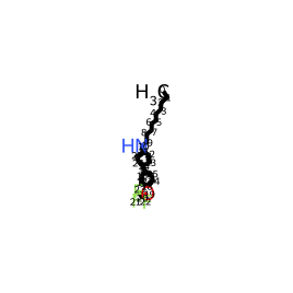 CCCCCCCCCCNc1ccc(-c2ccc(OC(F)(F)F)cc2)cc1